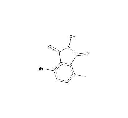 Cc1ccc(C(C)C)c2c1C(=O)N(O)C2=O